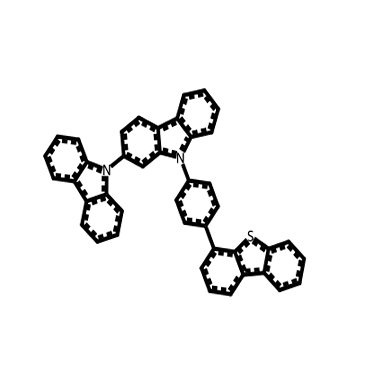 c1ccc2c(c1)sc1c(-c3ccc(-n4c5ccccc5c5ccc(-n6c7ccccc7c7ccccc76)cc54)cc3)cccc12